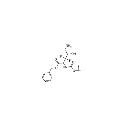 CC(C)(C)OC(=O)NC(C(=O)OCc1ccccc1)C(F)(F)C(O)CN